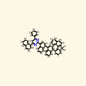 CC1(C)c2cccc(-c3ccc(-c4ccc(-c5nc(-c6ccccc6)cc(-c6cccc7ccccc67)n5)c5ccccc45)c4ccccc34)c2-c2c1ccc1ccccc21